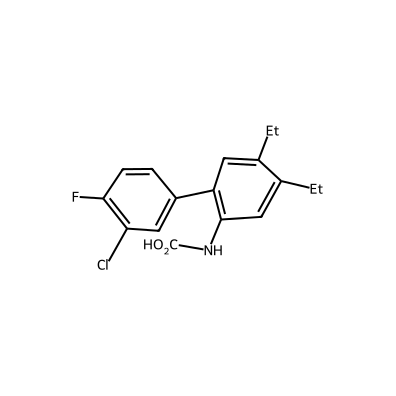 CCc1cc(NC(=O)O)c(-c2ccc(F)c(Cl)c2)cc1CC